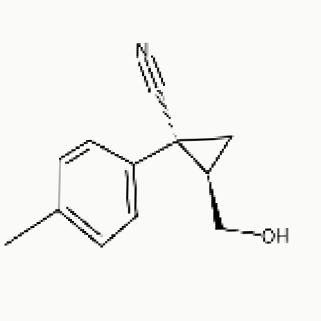 Cc1ccc([C@@]2(C#N)C[C@H]2CO)cc1